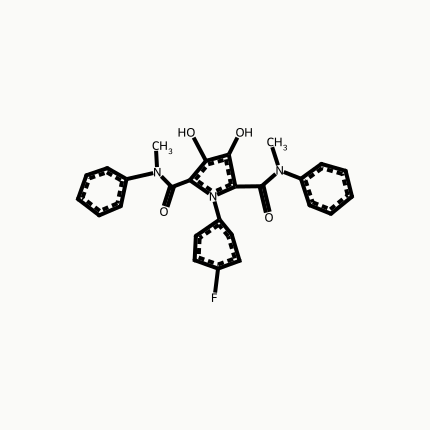 CN(C(=O)c1c(O)c(O)c(C(=O)N(C)c2ccccc2)n1-c1ccc(F)cc1)c1ccccc1